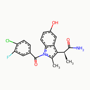 Cc1c([C@H](C)C(N)=O)c2cc(O)ccc2n1C(=O)c1ccc(Cl)c(F)c1